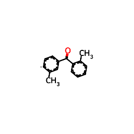 Cc1[c]ccc(C(=O)c2ccccc2C)c1